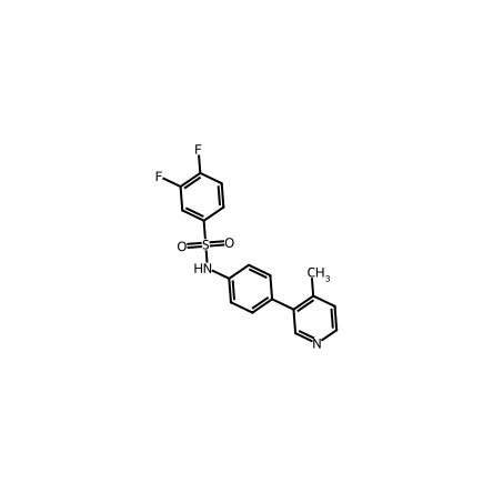 Cc1ccncc1-c1ccc(NS(=O)(=O)c2ccc(F)c(F)c2)cc1